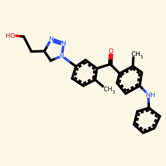 Cc1cc(Nc2ccccc2)ccc1C(=O)c1cc(N2CC(CCO)N=N2)ccc1C